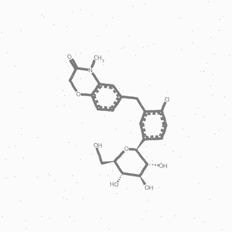 CN1C(=O)COc2ccc(Cc3cc([C@@H]4O[C@H](CO)[C@@H](O)[C@H](O)[C@H]4O)ccc3Cl)cc21